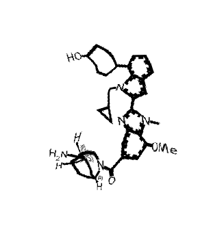 COc1cc(C(=O)N2C[C@H]3CC[C@@H]2C[C@@H]3N)cc2nc(-c3cc4cccc(C5CCC(O)CC5)c4n3CC3CC3)n(C)c12